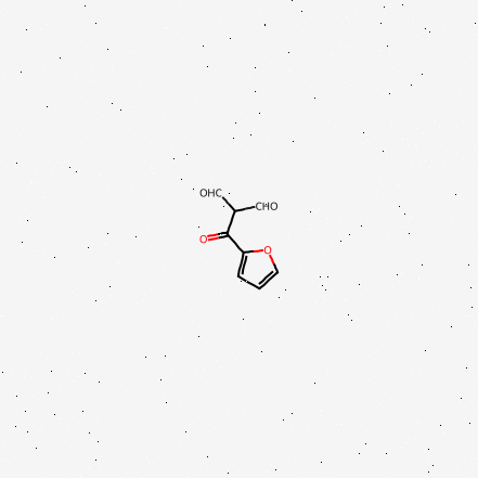 O=CC(C=O)C(=O)c1ccco1